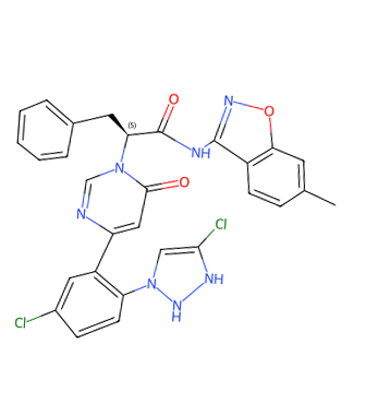 Cc1ccc2c(NC(=O)[C@H](Cc3ccccc3)n3cnc(-c4cc(Cl)ccc4N4C=C(Cl)NN4)cc3=O)noc2c1